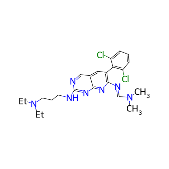 CCN(CC)CCCNc1ncc2cc(-c3c(Cl)cccc3Cl)c(N=CN(C)C)nc2n1